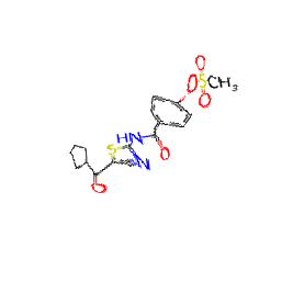 CS(=O)(=O)Oc1ccc(C(=O)Nc2ncc(C(=O)C3CCCC3)s2)cc1